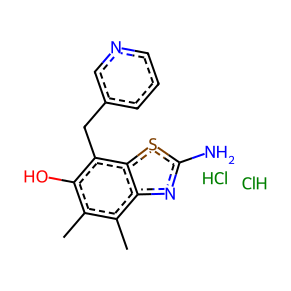 Cc1c(O)c(Cc2cccnc2)c2sc(N)nc2c1C.Cl.Cl